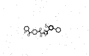 COc1ccc(C2CCCCC2)cc1-c1csc(NC(=O)N2CCN(C(=O)C3CCCCN3C)CC2)n1